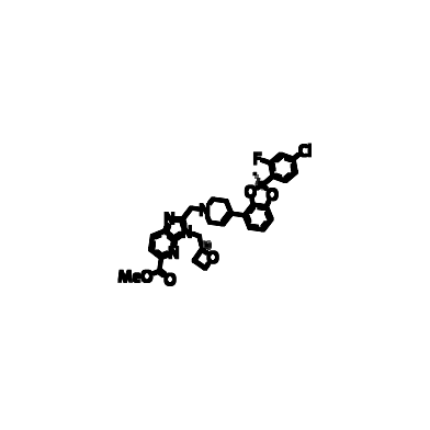 COC(=O)c1ccc2nc(CN3CC=C(c4cccc5c4O[C@@](C)(c4ccc(Cl)cc4F)O5)CC3)n(C[C@@H]3CCO3)c2n1